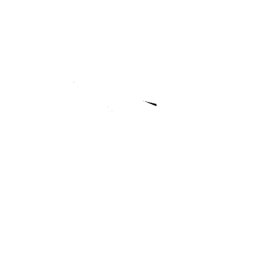 NC1=N[C@@](c2ccccc2)(c2ccc(F)c(Br)c2)CO1